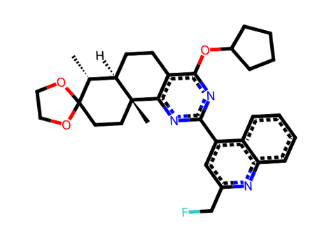 C[C@@H]1[C@H]2CCc3c(OC4CCCC4)nc(-c4cc(CF)nc5ccccc45)nc3[C@]2(C)CCC12OCCO2